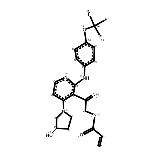 C=CC(=O)NCC(=N)c1c(N2CC[C@H](O)C2)ccnc1Nc1ccc(OC(F)(F)F)cc1